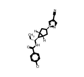 CC[C@@H](NC(=O)c1ccc(Cl)cc1)[C@H]1[C@@H]2C[C@@H](n3cc(C#N)cn3)C[C@@H]21